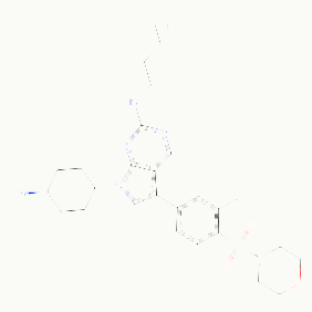 CCCCNc1ncc2c(-c3ccc(S(=O)(=O)N4CCOCC4)c(F)c3)cn([C@H]3CC[C@H](N)CC3)c2n1